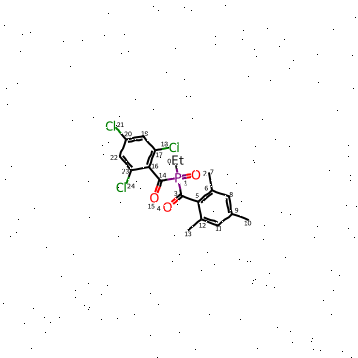 CCP(=O)(C(=O)c1c(C)cc(C)cc1C)C(=O)c1c(Cl)cc(Cl)cc1Cl